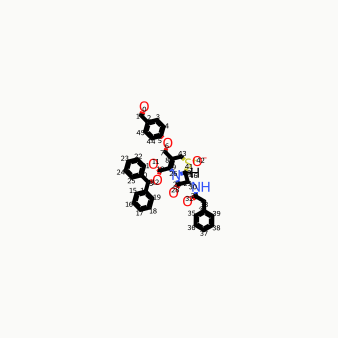 O=Cc1ccc(OCC2=C(C(=O)OC(c3ccccc3)c3ccccc3)N3C(=O)[C@@H](NC(=O)Cc4ccccc4)[C@H]3[S+]([O-])C2)cc1